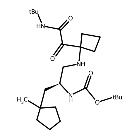 CC1(C[C@@H](CNC2(C(=O)C(=O)NC(C)(C)C)CCC2)NC(=O)OC(C)(C)C)CCCC1